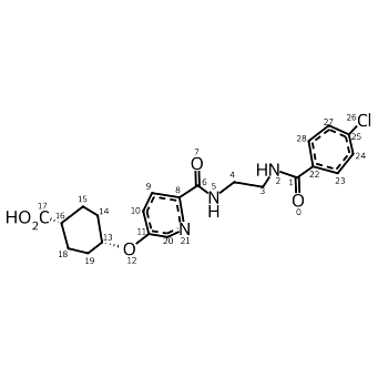 O=C(NCCNC(=O)c1ccc(O[C@H]2CC[C@@H](C(=O)O)CC2)cn1)c1ccc(Cl)cc1